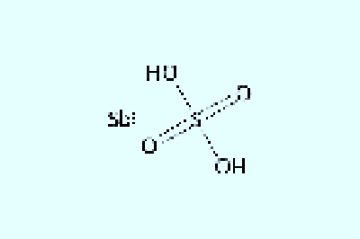 O=S(=O)(O)O.[Sb]